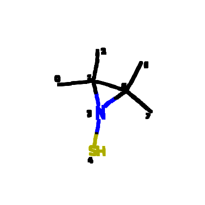 CC1(C)N(S)C1(C)C